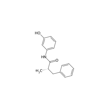 [CH2][C@@H](Cc1ccccc1)C(=O)Nc1cccc(O)c1